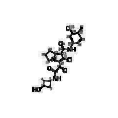 O=C(N[C@H]1C[C@H](O)C1)C(=O)c1c(Cl)c(C(=O)Nc2ccc(F)c(Cl)c2)c2n1CCC2